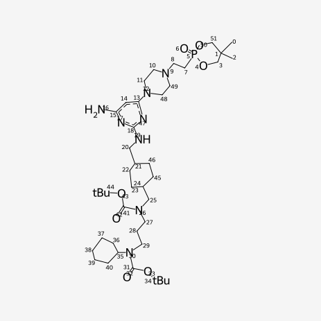 CC1(C)COP(=O)(CCN2CCN(c3cc(N)nc(NCC4CCC(CN(CCCN(C(=O)OC(C)(C)C)C5CCCCC5)C(=O)OC(C)(C)C)CC4)n3)CC2)OC1